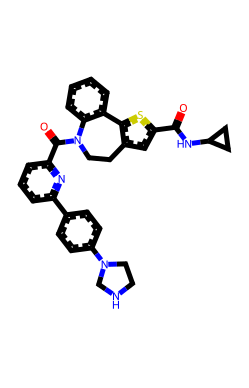 O=C(NC1CC1)c1cc2c(s1)-c1ccccc1N(C(=O)c1cccc(-c3ccc(N4CCNC4)cc3)n1)CC2